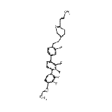 CCCC1CCC(CCc2ccc(-c3ccc(-c4ccc(OCC)c(F)c4F)c(F)c3F)cc2F)CO1